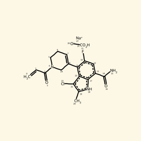 C=CC(=O)N1CCC=C(c2c(F)cc(C(N)=O)c3[nH]c(C)c(Cl)c23)C1.O=C([O-])O.[Na+]